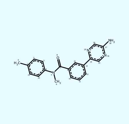 Cc1ccc(N(C)C(=O)c2cccc(-c3cnc(N)cn3)c2)cc1